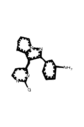 Nc1cccc(-c2nn3ccccc3c2-c2ccnc(Cl)n2)c1